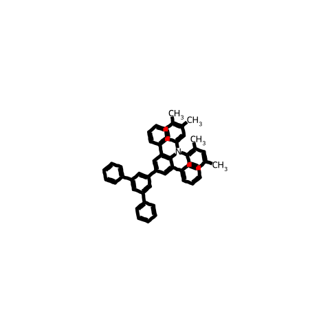 Cc1ccc(N(c2ccc(C)c(C)c2)c2c(-c3ccccc3)cc(-c3cc(-c4ccccc4)cc(-c4ccccc4)c3)cc2-c2ccccc2)c(C)c1